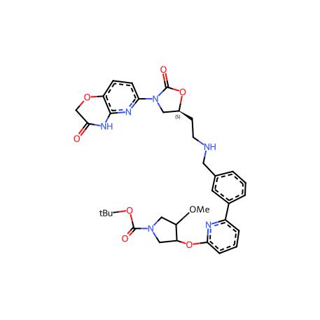 COC1CN(C(=O)OC(C)(C)C)CC1Oc1cccc(-c2cccc(CNCC[C@H]3CN(c4ccc5c(n4)NC(=O)CO5)C(=O)O3)c2)n1